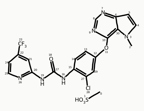 CS(=O)(=O)O.Cn1ccc2ncnc(Oc3ccc(NC(=O)Nc4cc(C(F)(F)F)ccn4)c(Cl)c3)c21